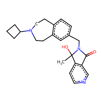 CC1(O)c2ccncc2C(=O)N1Cc1ccc2c(c1)CCN(C1CCC1)CC2